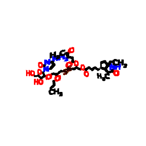 CCCCOC(CO[C@H]1C(O)[C@@H](CO)O[C@H]1n1ccc(N)nc1=O)CSSCC(COC(=O)CCCC[C@@H]1CCC2(CC)NC(=O)C(C)C12)OC(=O)CCC(C)=O